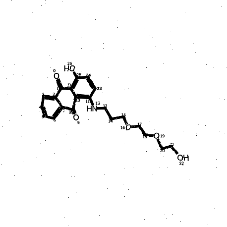 O=C1c2ccccc2C(=O)c2c(NCCCOCCOCCO)ccc(O)c21